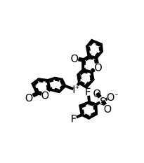 O=S(=O)([O-])c1ccc(F)cc1F.O=c1ccc2ccc([I+]c3ccc4oc5ccccc5c(=O)c4c3)cc2o1